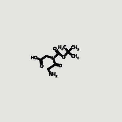 CC(C)(C)OC(=O)N(CC(=O)O)C(=O)CN